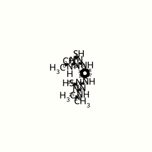 CC(C)Nc1nc(S)nc(Nc2ccc(Nc3nc(S)nc(NC(C)C)n3)cc2)n1